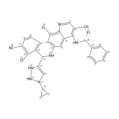 CC[C@@H](Nc1c(C#N)cnc2c(Cl)cc(NC(C3=CN(C4CC4)NN3)c3cccc(C#N)c3Cl)cc12)c1ccccc1